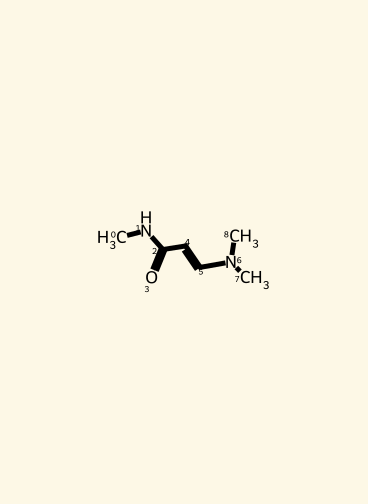 CNC(=O)/C=C/N(C)C